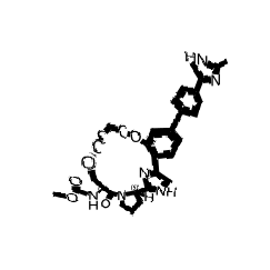 COC(=O)N[C@H]1COCCCCOc2cc(-c3ccc(-c4c[nH]c(C)n4)cc3)ccc2-c2c[nH]c(n2)[C@@H]2CCCN2C1=O